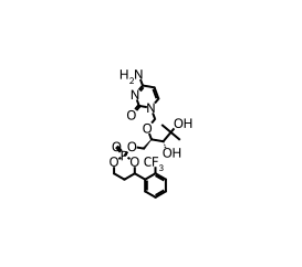 CC(C)(O)[C@H](O)[C@@H](COP1(=O)OCCC(c2ccccc2C(F)(F)F)O1)OCn1ccc(N)nc1=O